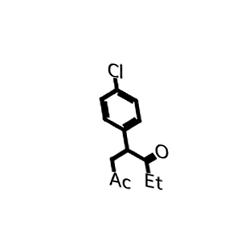 CCC(=O)C(CC(C)=O)c1ccc(Cl)cc1